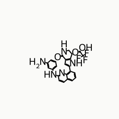 Nc1cccc(Nc2ccc3cccc(-c4cc5c([nH]4)CCNC5=O)c3n2)c1.O=C(O)C(F)(F)F